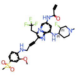 C#CC(=O)Nc1cc(N[C@@H]2CCN(C)C[C@@H]2F)c2nc(C#CCNc3ccc(S(C)(=O)=O)cc3OC)c(CC(F)(F)F)n2c1